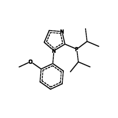 COc1ccccc1-n1ccnc1P(C(C)C)C(C)C